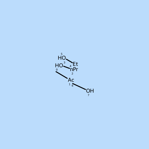 CC(C)=O.CCCO.CCO.CO